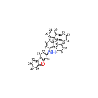 c1ccc(C2(c3cccc(Nc4ccc5c(c4)oc4ccccc45)c3)c3ccccc3-c3ccccc32)cc1